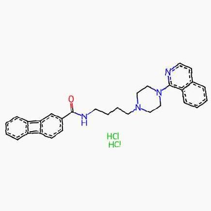 Cl.Cl.O=C(NCCCCN1CCN(c2nccc3ccccc23)CC1)c1ccc2c(c1)=c1ccccc1=2